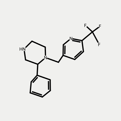 FC(F)(F)c1ccc(CN2CCNCC2c2ccccc2)cn1